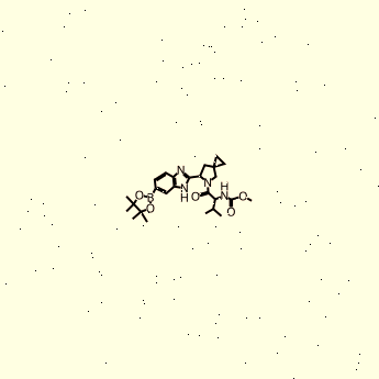 COC(=O)NC(C(=O)N1CC2(CC2)CC1c1nc2ccc(B3OC(C)(C)C(C)(C)O3)cc2[nH]1)C(C)C